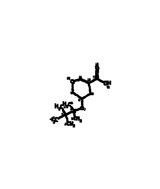 CC(C)(C)[Si](C)(C)OC1COCC(C(=O)O)C1